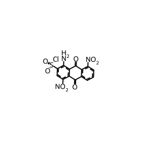 Nc1c(S(=O)(=O)Cl)cc([N+](=O)[O-])c2c1C(=O)c1c(cccc1[N+](=O)[O-])C2=O